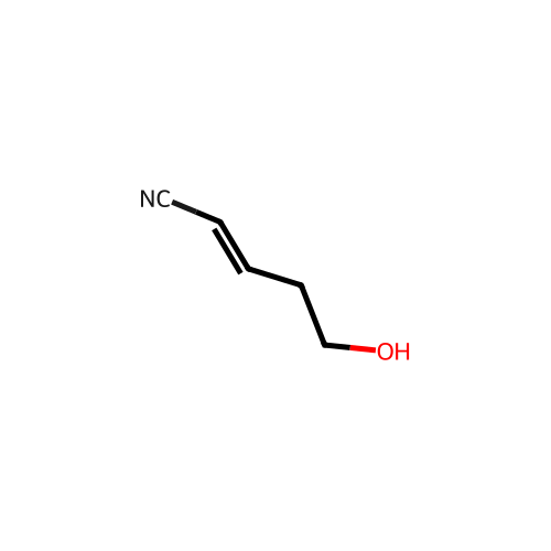 N#CC=CCCO